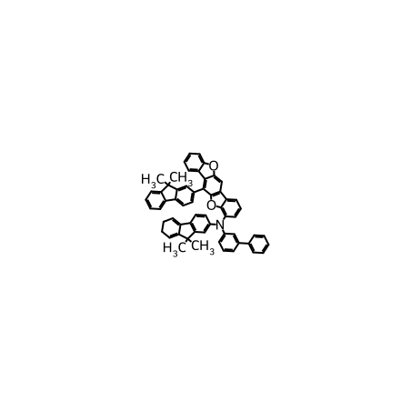 CC1(C)C2=CCCC=C2c2ccc(N(c3cccc(-c4ccccc4)c3)c3cccc4c3oc3c(-c5ccc6c(c5)C(C)(C)c5ccccc5-6)c5c(cc34)oc3ccccc35)cc21